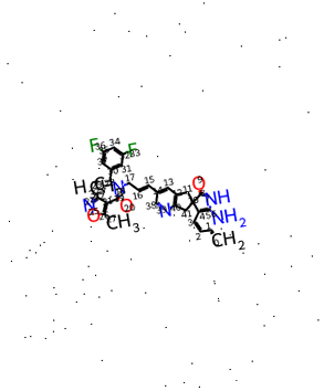 C=C/C=C\C1=C(N)NC(=O)C12Cc1cc(/C=C/CN(C(=O)c3c(C)noc3C)[C@H](C)c3cc(F)cc(F)c3)cnc1C2